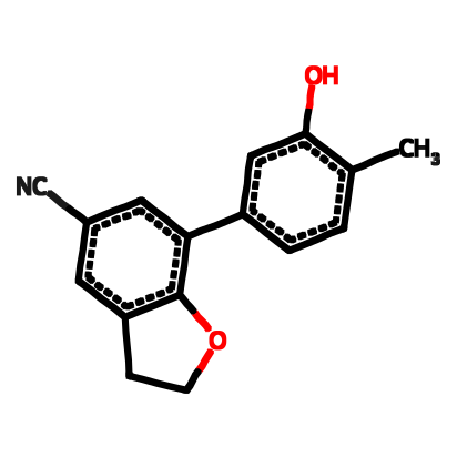 Cc1ccc(-c2cc(C#N)cc3c2OCC3)cc1O